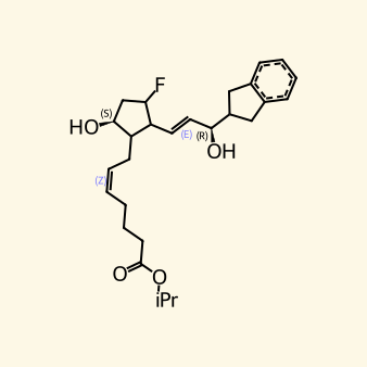 CC(C)OC(=O)CCC/C=C\CC1C(/C=C/[C@H](O)C2Cc3ccccc3C2)C(F)C[C@@H]1O